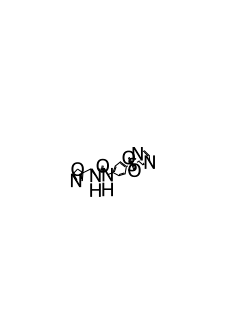 O=C(NCc1cnco1)Nc1ccc(S(=O)(=O)c2cnccn2)cc1